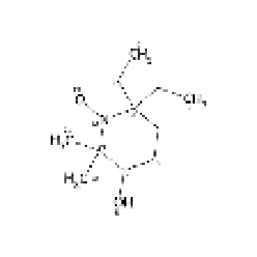 CCC1(CC)CCC(O)C(C)(C)N1[O]